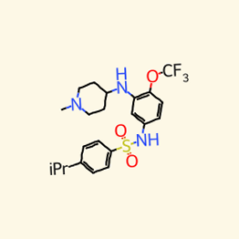 CC(C)c1ccc(S(=O)(=O)Nc2ccc(OC(F)(F)F)c(NC3CCN(C)CC3)c2)cc1